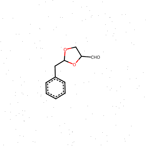 O=CC1COC(Cc2ccccc2)O1